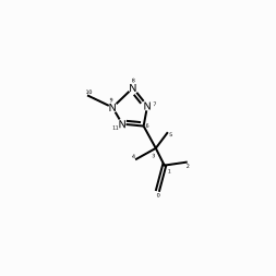 C=C(C)C(C)(C)c1nnn(C)n1